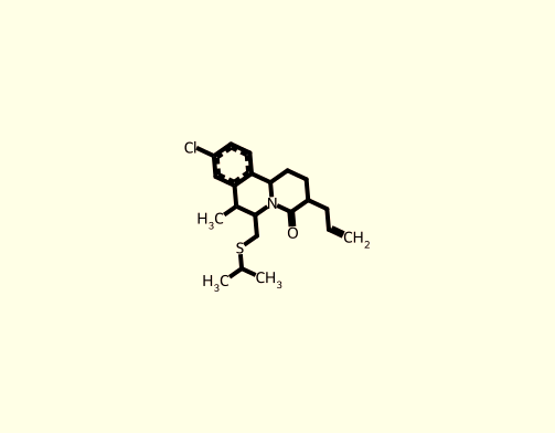 C=CCC1CCC2c3ccc(Cl)cc3C(C)C(CSC(C)C)N2C1=O